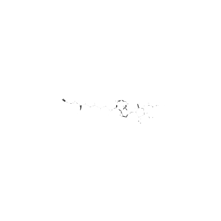 C#CCNC(=O)CCCCCNc1ncnc2c1ncn2[C@H]1C(=O)[C@@H](CSC)[C@H](O)[C@@H]1O